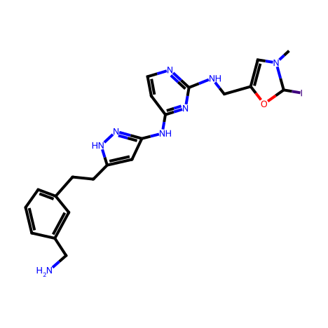 CN1C=C(CNc2nccc(Nc3cc(CCc4cccc(CN)c4)[nH]n3)n2)OC1I